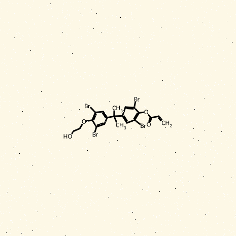 C=CC(=O)Oc1c(Br)cc(C(C)(C)c2cc(Br)c(OCCO)c(Br)c2)cc1Br